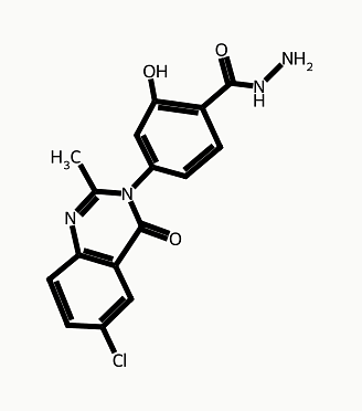 Cc1nc2ccc(Cl)cc2c(=O)n1-c1ccc(C(=O)NN)c(O)c1